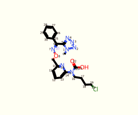 Cn1nnnc1/C(=N\OCc1cccc(N(CCCCCl)C(=O)O)n1)c1ccccc1